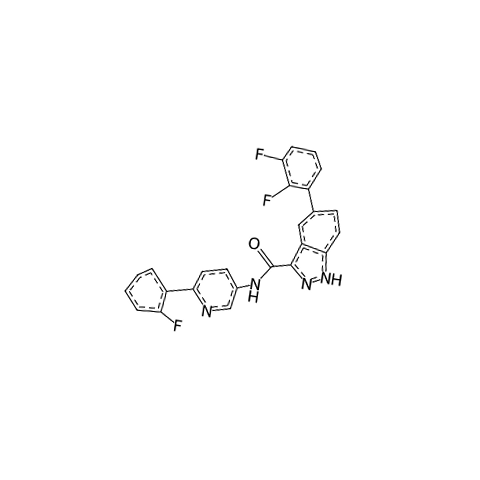 O=C(Nc1ccc(-c2ccccc2F)nc1)c1n[nH]c2ccc(-c3cccc(F)c3F)cc12